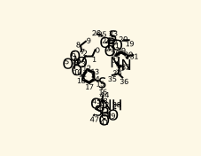 CCCOP(=O)(OCCC)Oc1ccc(SC)cc1.CCOP(=S)(OCC)Oc1cc(C)nc(C(C)C)n1.COP(=O)(NC(C)=O)SC